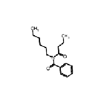 CCCCCCN(C(=O)CCC)C(=O)c1ccccc1